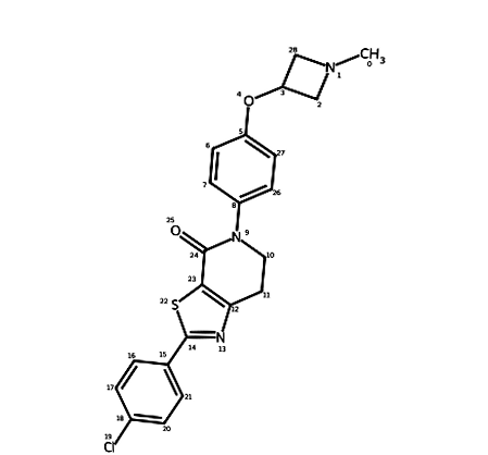 CN1CC(Oc2ccc(N3CCc4nc(-c5ccc(Cl)cc5)sc4C3=O)cc2)C1